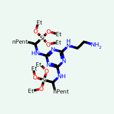 CCCCCC(Nc1nc(NCCN)nc(NC(CCCCC)[Si](OCC)(OCC)OCC)n1)[Si](OCC)(OCC)OCC